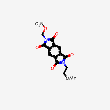 COCCn1c(=O)c2cc3c(=O)n(CO[N+](=O)[O-])c(=O)c3cc2c1=O